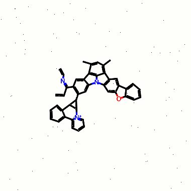 C=C/N=C(/C=C)c1cc2c3c(C)cc(C)c4c5cc6c(cc5n(c2cc1C1C2c5ccccc5-c5cccc[n+]5C12)c34)oc1ccccc16